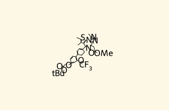 COC(=O)CC1N=C(C2=CC=C(c3ccc(OCC(=O)OC(C)(C)C)cc3OC(F)(F)F)CC2)c2c(sc(C)c2C)-n2c(C)nnc21